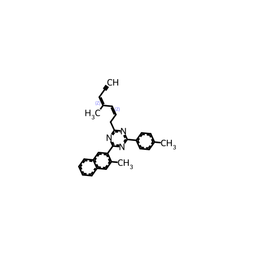 C#C/C=C(C)\C=C/Cc1nc(-c2ccc(C)cc2)nc(-c2cc3ccccc3cc2C)n1